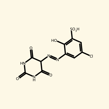 O=C1NC(=O)C(N=Nc2cc(Cl)cc(S(=O)(=O)O)c2O)C(=O)N1